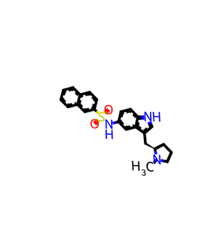 CN1CCC[C@@H]1Cc1c[nH]c2ccc(NS(=O)(=O)c3ccc4ccccc4c3)cc12